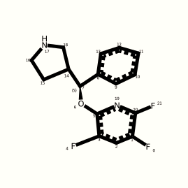 Fc1cc(F)c(O[C@H](c2ccccc2)C2CCNC2)nc1F